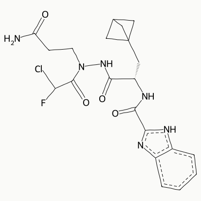 NC(=O)CCN(NC(=O)[C@H](CC12CC(C1)C2)NC(=O)c1nc2ccccc2[nH]1)C(=O)C(F)Cl